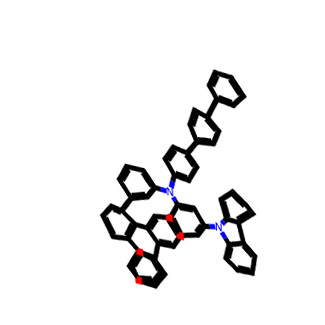 c1ccc(-c2ccc(-c3ccc(N(c4cccc(-c5cccc(-c6ccccc6)c5-c5ccccc5-c5ccccc5)c4)c4cccc(-n5c6ccccc6c6ccccc65)c4)cc3)cc2)cc1